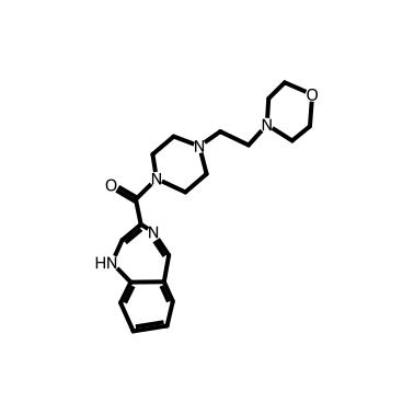 O=C(C1=CNc2ccccc2C=N1)N1CCN(CCN2CCOCC2)CC1